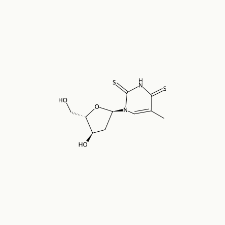 Cc1cn([C@H]2C[C@@H](O)[C@H](CO)O2)c(=S)[nH]c1=S